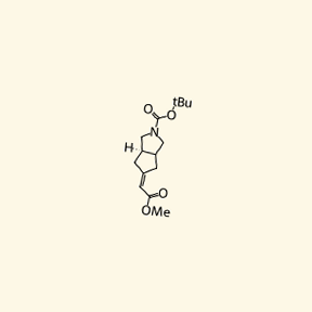 COC(=O)/C=C1\CC2CN(C(=O)OC(C)(C)C)C[C@@H]2C1